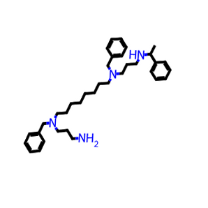 CC(NCCCN(CCCCCCCCN(CCCN)Cc1ccccc1)Cc1ccccc1)c1ccccc1